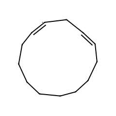 [C]1=CCCCCCCCCC=CC1